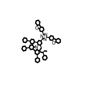 C=C/C(=C\C=C\c1cc(-c2nc(-c3ccc4c(c3)oc3ccccc34)nc(-c3ccc4c(c3)oc3ccccc34)n2)cc(-c2ccc(-c3ccccc3)cc2)c1-n1c2ccc(-c3ccccc3)cc2c2cc(-c3ccccc3)ccc21)c1ccccc1